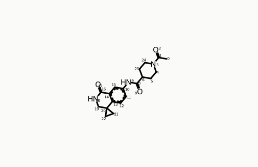 CC(=O)N1CCC(C(=O)Nc2ccc3c(c2)C(=O)NCC32CC2)CC1